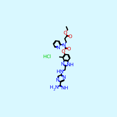 CCOC(=O)CCN(C(=O)Oc1ccc2[nH]c(CNc3cnc(C(=N)N)cn3)nc2c1C)c1ccccn1.Cl